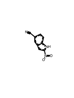 N#Cc1ccc2[nH]c([N+](=O)[O-])cc2c1